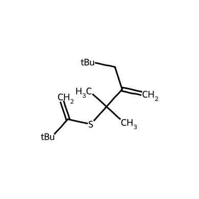 C=C(SC(C)(C)C(=C)CC(C)(C)C)C(C)(C)C